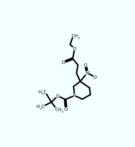 CCOC(=O)CCC1([N+](=O)[O-])CCCN(C(=O)OC(C)(C)C)C1